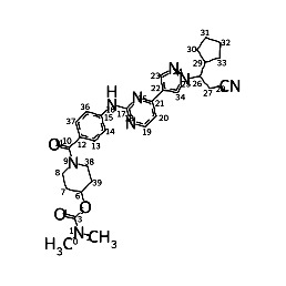 CN(C)C(=O)OC1CCN(C(=O)c2ccc(Nc3nccc(-c4cnn(C(CC#N)C5CCCC5)c4)n3)cc2)CC1